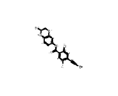 CCC1COc2cc(NC(=O)c3cc(F)c(C#CC(C)(C)C)cc3Cl)ccc2O1